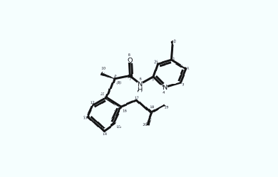 Cc1ccnc(NC(=O)[C@H](C)c2ccccc2CC(C)C)c1